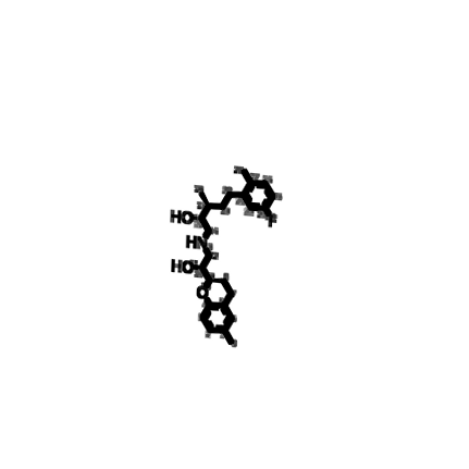 Cc1ccc2c(c1)CC[C@H]([C@@H](O)CNC[C@H](O)[C@@H](C)CCc1cc(F)ccc1C)O2